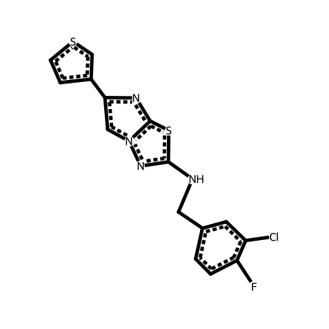 Fc1ccc(CNc2nn3cc(-c4ccsc4)nc3s2)cc1Cl